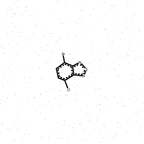 Clc1ccc(Br)c2nsnc12